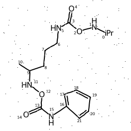 CC(C)NOC(=O)NCCCC(C)NOC(=O)Nc1ccccc1